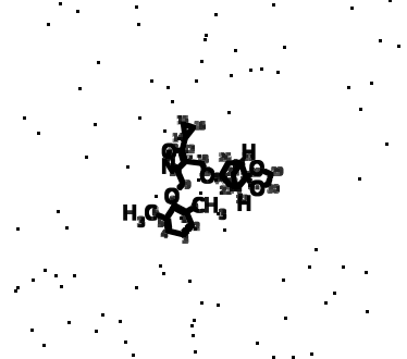 Cc1cccc(C)c1OCc1noc(C2CC2)c1CO[C@H]1C[C@H]2CC[C@@H](C1)C21OCCO1